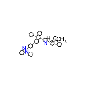 CC1(C)c2ccccc2-c2ccc(-c3ccc(-c4c5ccccc5c(-c5ccccc5)c5cc(-c6ccc(-c7nc8ccccc8n7C7C=CC=CC7)cc6)ccc45)cn3)cc21